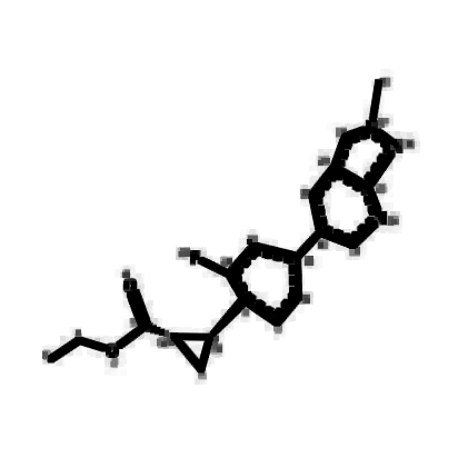 CCOC(=O)[C@H]1C[C@@H]1c1ccc(-c2cnc3nn(C)cc3c2)cc1F